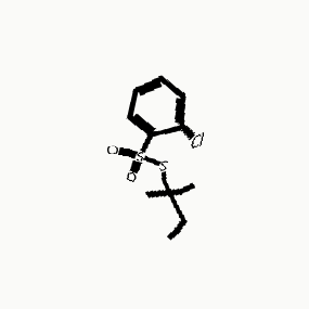 CCC(C)(C)SS(=O)(=O)c1ccccc1Cl